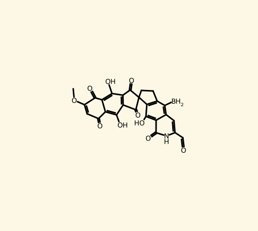 Bc1c2c(c(O)c3c(=O)[nH]c(C=O)cc13)C1(CC2)C(=O)c2c(O)c3c(c(O)c2C1=O)C(=O)C(OC)=CC3=O